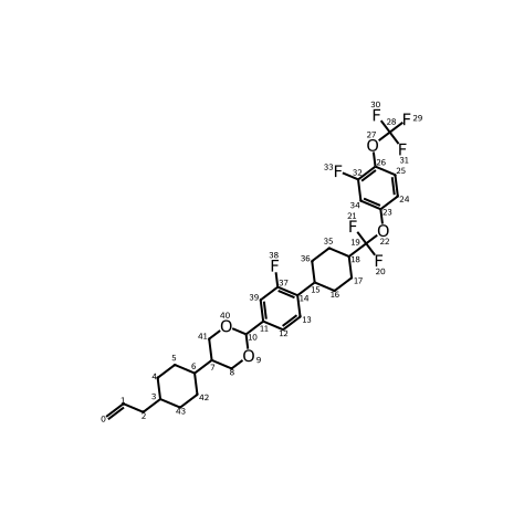 C=CCC1CCC(C2COC(c3ccc(C4CCC(C(F)(F)Oc5ccc(OC(F)(F)F)c(F)c5)CC4)c(F)c3)OC2)CC1